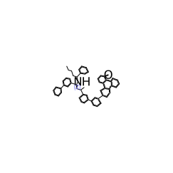 CCCCC(N/C(=C\C(C)c1cccc(-c2cccc(-c3ccc4c(c3)c3cccc5oc6cccc4c6c53)c2)c1)c1cccc(-c2ccccc2)c1)c1ccccc1